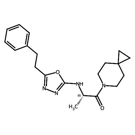 C[C@H](Nc1nnc(CCc2ccccc2)o1)C(=O)N1CCC2(CC1)CC2